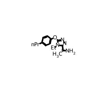 CCCc1ccc(Oc2nnc([C@@H](C)N)n2CC)cc1